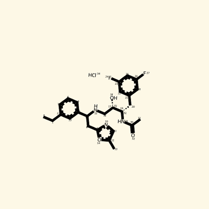 CCc1cccc(C(Cc2ncc(C)o2)NC[C@H](O)[C@H](Cc2cc(F)cc(F)c2)NC(C)=O)c1.Cl